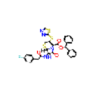 O=C(Cc1ccc(F)cc1)N[C@@H]1C(=O)N2C(C(=O)OC(c3ccccc3)c3ccccc3)=C(Sc3nncs3)CS[C@@H]12